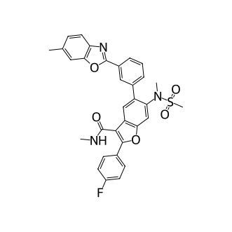 CNC(=O)c1c(-c2ccc(F)cc2)oc2cc(N(C)S(C)(=O)=O)c(-c3cccc(-c4nc5ccc(C)cc5o4)c3)cc12